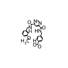 COc1cccc(CNC(=O)c2cc(C(=O)NCc3ccc(C(=O)O)cc3)ncn2)c1